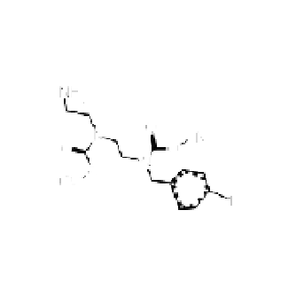 CC(C)(C)OC(=O)N(CCN)CCN(Cc1ccc(F)cc1)C(=O)OC(C)(C)C